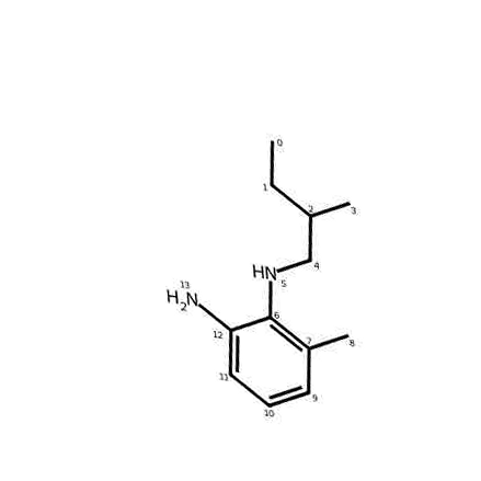 CCC(C)CNc1c(C)cccc1N